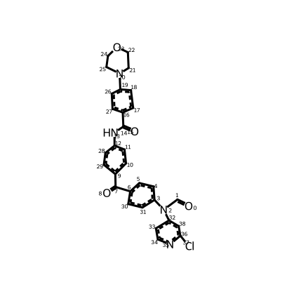 O=CN(c1ccc(C(=O)c2ccc(NC(=O)c3ccc(N4CCOCC4)cc3)cc2)cc1)c1ccnc(Cl)c1